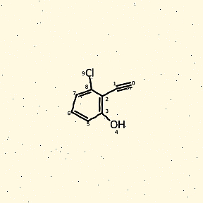 C#Cc1c(O)cccc1Cl